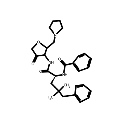 CC(C)(Cc1ccccc1)C[C@H](NC(=O)c1ccccc1)C(=O)NC1C(=O)COC1CN1CCCC1